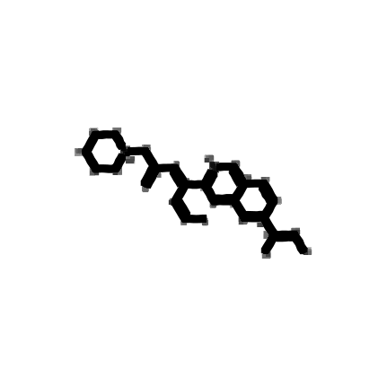 C=C(/C=C(\C=C/C)c1cc2cc(/C(C)=C/C)ccc2cn1)CN1CCCCC1